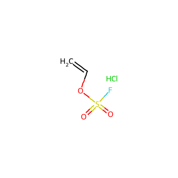 C=COS(=O)(=O)F.Cl